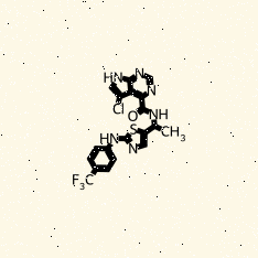 CC(NC(=O)c1ncnc2[nH]cc(Cl)c12)c1cnc(Nc2ccc(C(F)(F)F)cc2)s1